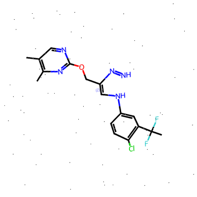 Cc1cnc(OC/C(=C/Nc2ccc(Cl)c(C(C)(F)F)c2)N=N)nc1C